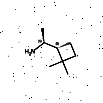 C[C@H](N)[C@@H]1C[CH]C1(C)C